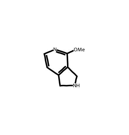 COc1nccc2c1CNC2